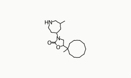 CC1CNCCC(N2CC(C3(C)CCCCCCCCC3)OC2=O)C1